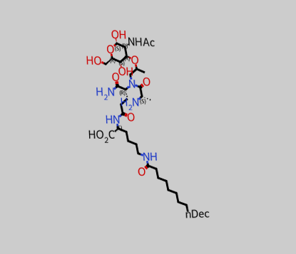 CCCCCCCCCCCCCCCCCC(=O)NCCCC[C@H](NC(=O)CC[C@H](C(N)=O)N(CC(C)O[C@H]1[C@H](O)[C@@H](CO)O[C@H](O)[C@@H]1NC(C)=O)C(=O)[C@H](C)N)C(=O)O